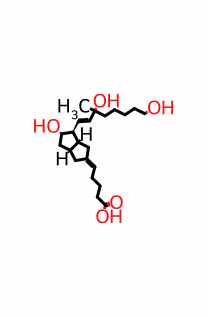 CC(O)(C=C[C@H]1[C@@H]2CC(=CCCCC(=O)O)C[C@H]2C[C@@H]1O)CCCCCO